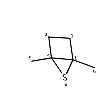 CC12CCC1(C)S2